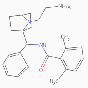 CC(=O)NCCN1C2CCC1(C(NC(=O)c1c(C)cccc1C)c1ccccc1)CC2